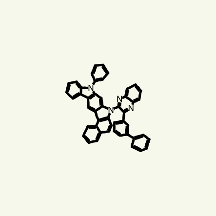 c1ccc(-c2cccc(-c3nc4ccccc4nc3-n3c4cc5c(cc4c4c6ccccc6ccc43)c3ccccc3n5-c3ccccc3)c2)cc1